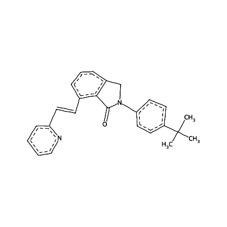 CC(C)(C)c1ccc(N2Cc3cccc(C=Cc4ccccn4)c3C2=O)cc1